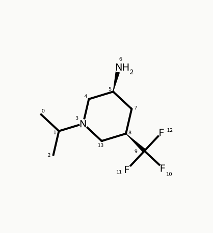 CC(C)N1C[C@@H](N)C[C@@H](C(F)(F)F)C1